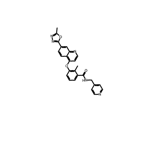 Cc1nnc(-c2ccc3c(Oc4cccc(C(=O)NCc5ccncc5)c4C)ccnc3c2)o1